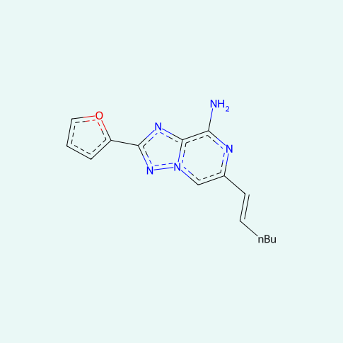 CCCCC=Cc1cn2nc(-c3ccco3)nc2c(N)n1